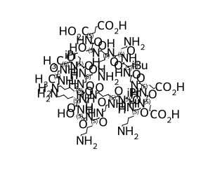 CC[C@H](C)[C@H](NC(=O)CNC(=O)[C@H](CCC(=O)O)NC(=O)[C@H](CCC(=O)O)NC(=O)[C@H](CCCCN)NC(=O)[C@@H](NC(=O)[C@H](CCC(N)=O)NC(=O)CNC(=O)[C@H](CCCCN)NC(=O)[C@H](CO)NC(=O)[C@H](CCCCN)NC(=O)[C@H](CCCCN)NC(=O)[C@H](CO)NC(=O)[C@H](CC(C)C)NC(=O)[C@H](C)NC(=O)[C@H](C)N)C(C)C)C(=O)N[C@@H](CC(N)=O)C(=O)N[C@@H](CCCCN)C(=O)N[C@@H](CO)C(=O)N[C@@H](CCC(=O)O)C(=O)O